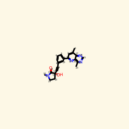 Cc1cc(-c2cccc(C#CC3(O)CCN(C)C3=O)c2)nc2c(C)ncnc12